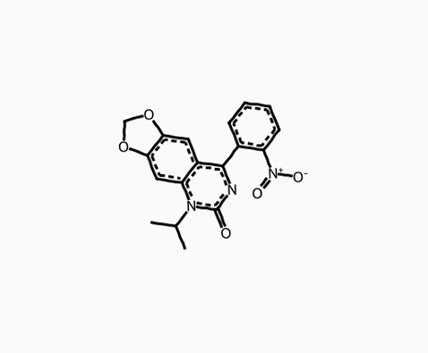 CC(C)n1c(=O)nc(-c2ccccc2[N+](=O)[O-])c2cc3c(cc21)OCO3